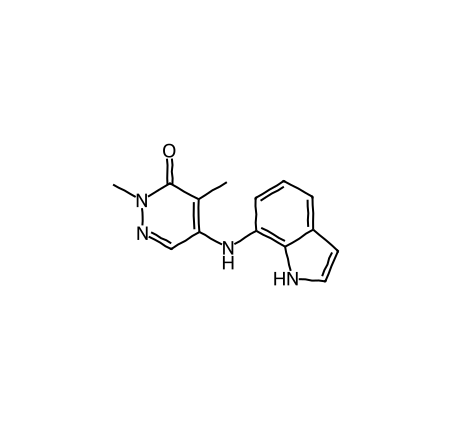 Cc1c(Nc2cccc3cc[nH]c23)cnn(C)c1=O